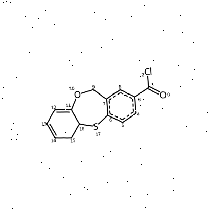 O=C(Cl)c1ccc2c(c1)COC1=CC=CCC1S2